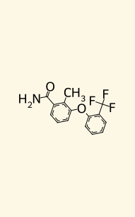 Cc1c(Oc2ccccc2C(F)(F)F)cccc1C(N)=O